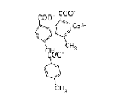 Cc1ccc(C(=O)[O-])cc1.Cc1ccc(C(=O)[O-])cc1.Cc1ccc(C(=O)[O-])cc1.[Ga+3]